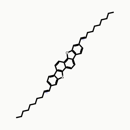 CCCCCCCC/C=C/c1ccc2c(c1)oc1c2ccc2c1ccc1c3ccc(/C=C/CCCCCCCC)cc3sc12